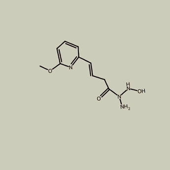 COc1cccc(/C=C/CC(=O)N(N)NO)n1